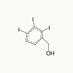 OCc1ccc(I)c(I)c1I